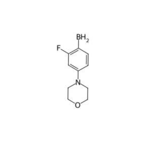 Bc1ccc(N2CCOCC2)cc1F